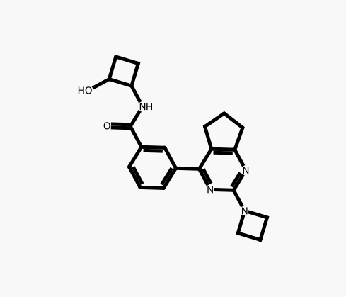 O=C(NC1CCC1O)c1cccc(-c2nc(N3CCC3)nc3c2CCC3)c1